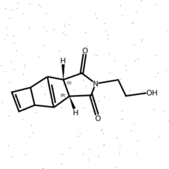 O=C1[C@@H]2C3C=CC(C4C=CC43)[C@@H]2C(=O)N1CCO